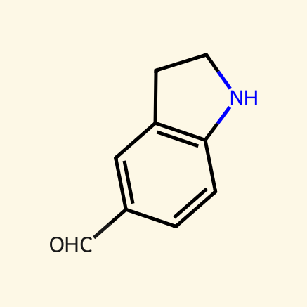 O=Cc1ccc2c(c1)CCN2